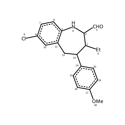 CCC1C(C=O)Nc2ccc(Cl)cc2CC1c1ccc(OC)cc1